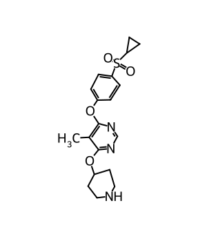 Cc1c(Oc2ccc(S(=O)(=O)C3CC3)cc2)ncnc1OC1CCNCC1